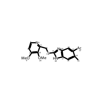 COc1ccnc(CSc2nc3cc(C(C)=O)c(C)cc3[nH]2)c1OC